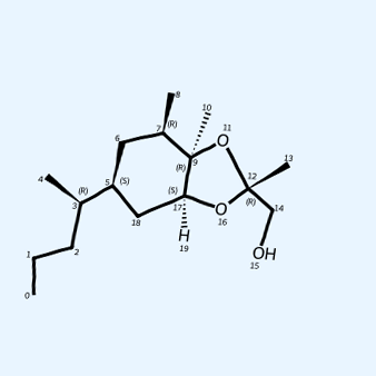 CCC[C@@H](C)[C@H]1C[C@@H](C)[C@@]2(C)O[C@](C)(CO)O[C@H]2C1